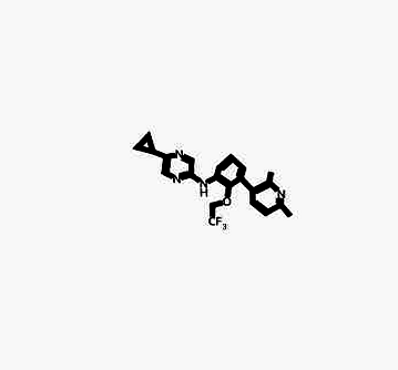 Cc1ccc(-c2cccc(Nc3cnc(C4CC4)cn3)c2OCC(F)(F)F)c(C)n1